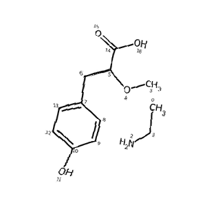 CCN.COC(Cc1ccc(O)cc1)C(=O)O